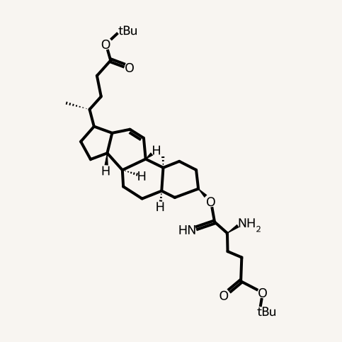 C[C@H](CCC(=O)OC(C)(C)C)C1CC[C@@H]2C1C=C[C@H]1[C@H]2CC[C@@H]2C[C@H](OC(=N)[C@@H](N)CCC(=O)OC(C)(C)C)CC[C@@]21C